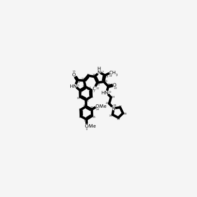 COc1ccc(-c2ccc3c(c2)NC(=O)C3=Cc2[nH]c(C)c(C(=O)NCCN3CCCC3)c2C)c(OC)c1